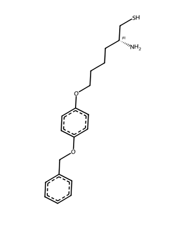 N[C@@H](CS)CCCCOc1ccc(OCc2ccccc2)cc1